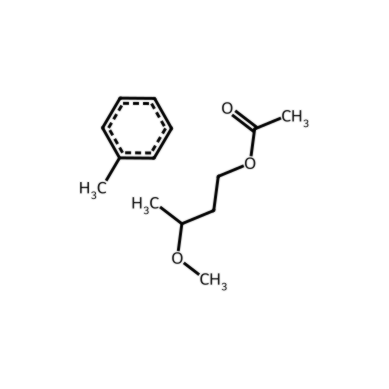 COC(C)CCOC(C)=O.Cc1ccccc1